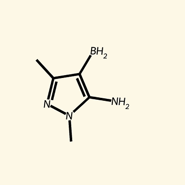 Bc1c(C)nn(C)c1N